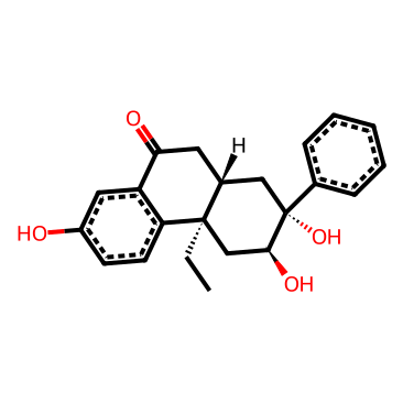 CC[C@@]12C[C@H](O)[C@](O)(c3ccccc3)C[C@H]1CC(=O)c1cc(O)ccc12